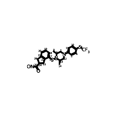 CC1CN(c2ccc(SC(F)(F)F)cc2)CC(C)N1Sc1cccc2c1CC(C(=O)N=O)C2